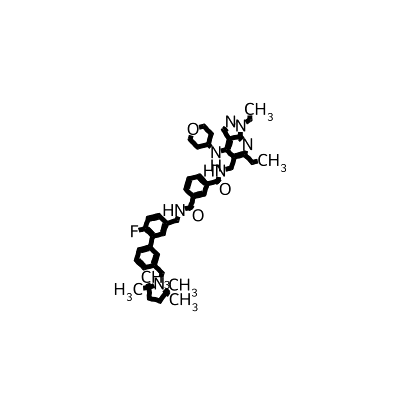 CCc1nc2c(cnn2CC)c(NC2CCOCC2)c1CNC(=O)c1cccc(C(=O)NCc2ccc(F)c(-c3cccc(CN4C(C)(C)CCC4(C)C)c3)c2)c1